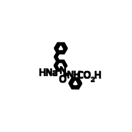 O=C(O)c1ccccc1NC(=O)N1CCC(Cc2ccccc2)CC1.[NaH]